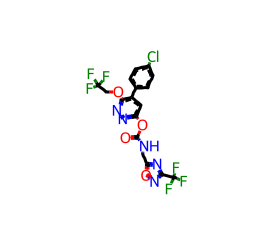 O=C(NCc1nc(C(F)(F)F)no1)Oc1cc(-c2ccc(Cl)cc2)c(OCC(F)(F)F)nn1